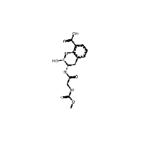 COC(=O)NCC(=O)N[C@H]1Cc2cccc(C(=O)O)c2OB1O